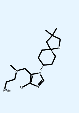 CNCCN(C)Cc1c(Cl)ncn1[C@H]1CC[C@@]2(CC1)CC(C)(C)CO2